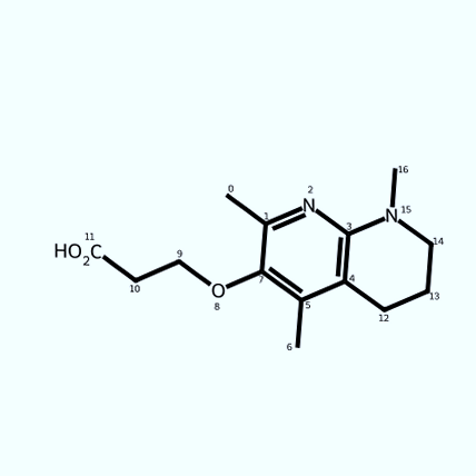 Cc1nc2c(c(C)c1OCCC(=O)O)CCCN2C